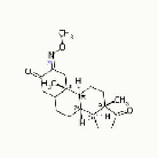 CO/N=C1\C[C@@]2(C)C(CC[C@@H]3[C@@H]2CC[C@]2(C)C(=O)CC[C@@H]32)CC1=O